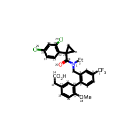 CCN(Cc1cc(C(F)(F)F)ccc1-c1cc(CC(=O)O)ccc1OC)C(=O)C1(c2ccc(Cl)cc2Cl)CC1